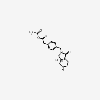 O=C(Cc1ccc(CN2C[C@@H]3CNCCN3C2=O)cc1)OC(=O)C(F)(F)F